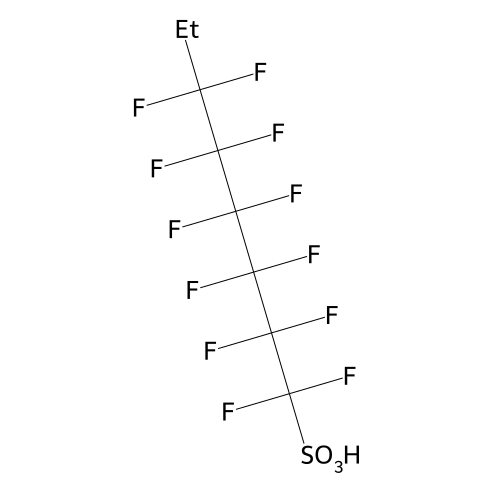 CCC(F)(F)C(F)(F)C(F)(F)C(F)(F)C(F)(F)C(F)(F)S(=O)(=O)O